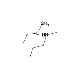 CCCNC.CCO[SiH3]